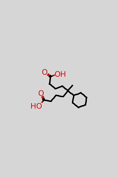 CC(CCCC(=O)O)(CCCC(=O)O)C1CCCCC1